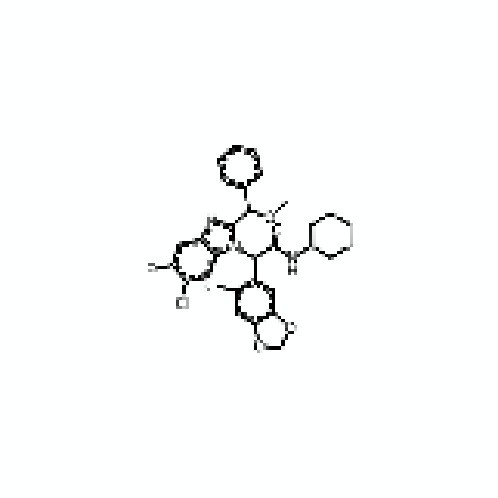 COC(c1ccccc1)c1nc2cc(F)c(Cl)cc2n1C(C(=O)NC1CCCCC1)c1cc2c(cc1Cl)OCO2